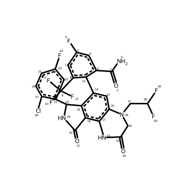 NC(=O)c1cc(F)cc(C(F)(F)F)c1-c1cc2c(c3c1C(c1cc(F)ccc1Cl)NC3=O)NC(=O)CN2CC(F)F